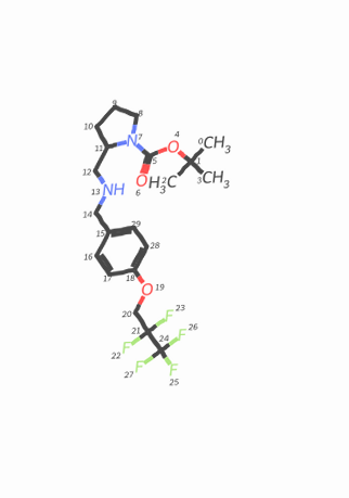 CC(C)(C)OC(=O)N1CCCC1CNCc1ccc(OCC(F)(F)C(F)(F)F)cc1